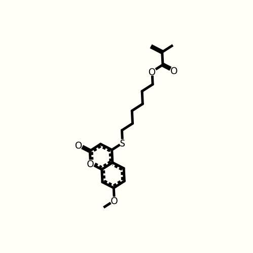 C=C(C)C(=O)OCCCCCCSc1cc(=O)oc2cc(OC)ccc12